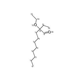 CCCCCCCCC(C=O)(CC)OCC